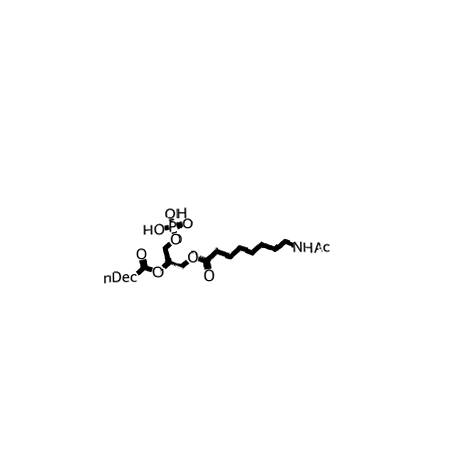 CCCCCCCCCCC(=O)O[C@H](COC(=O)CCCCCCCNC(C)=O)COP(=O)(O)O